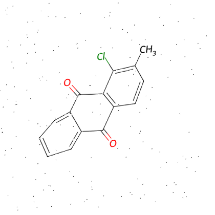 Cc1ccc2c(c1Cl)C(=O)c1ccccc1C2=O